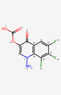 Nn1cc(OC(=O)O)c(=O)c2cc(F)c(F)c(F)c21